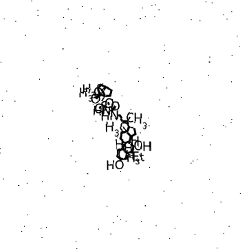 CC[C@H]1[C@@H](O)[C@@H]2[C@H](CC[C@]3(C)[C@@H]([C@H](C)CCNC(=O)NS(=O)(=O)C[C@@]45CCC(CCC4=O)C5(C)C)CC[C@@H]23)[C@@]2(C)CC[C@@H](O)C[C@@H]12